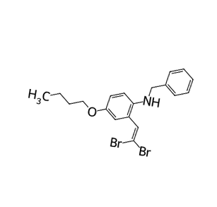 CCCCOc1ccc(NCc2ccccc2)c(C=C(Br)Br)c1